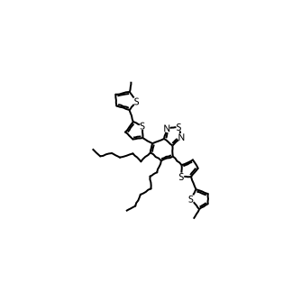 CCCCCCc1c(CCCCCC)c(-c2ccc(-c3ccc(C)s3)s2)c2nsnc2c1-c1ccc(-c2ccc(C)s2)s1